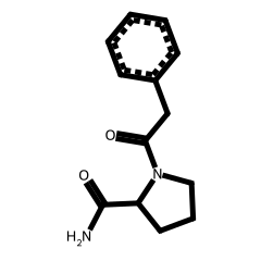 NC(=O)C1CCCN1C(=O)Cc1ccccc1